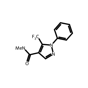 CNC(=O)c1cnn(-c2ccccc2)c1C(F)(F)F